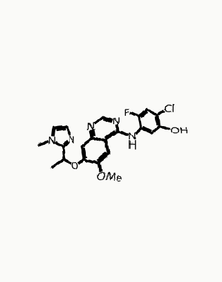 COc1cc2c(Nc3cc(O)c(Cl)cc3F)ncnc2cc1OC(C)c1nccn1C